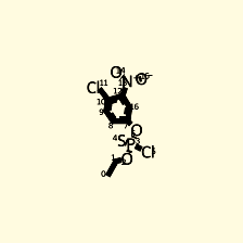 CCOP(=S)(Cl)Oc1ccc(Cl)c([N+](=O)[O-])c1